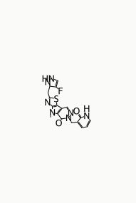 Cn1c2nc(Cc3n[nH]cc3F)sc2c2cnn(Cc3ccc[nH]c3=O)c(=O)c21